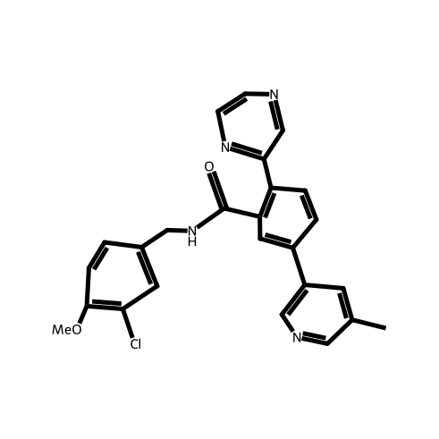 COc1ccc(CNC(=O)c2cc(-c3cncc(C)c3)ccc2-c2cnccn2)cc1Cl